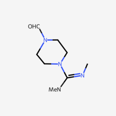 C/N=C(/NC)N1CCN(C=O)CC1